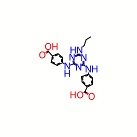 CCCNc1nc(Nc2ccc(C(=O)O)cc2)nc(Nc2ccc(C(=O)O)cc2)n1